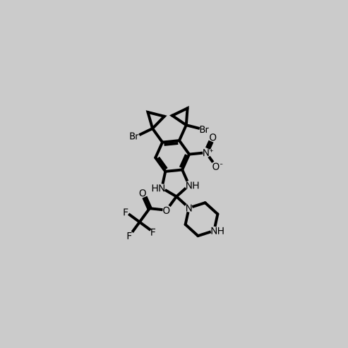 O=C(OC1(N2CCNCC2)Nc2cc(C3(Br)CC3)c(C3(Br)CC3)c([N+](=O)[O-])c2N1)C(F)(F)F